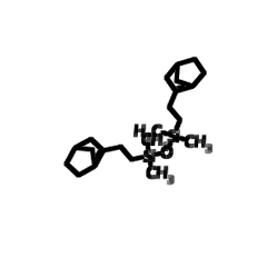 C[Si](C)(CCC1=C2CCC(C2)C1)O[Si](C)(C)CCC1=C2CCC(C2)C1